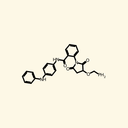 O=C(Nc1ccc(Nc2ccccc2)cc1)c1ccccc1N1C(=O)CC(OCP)C1=O